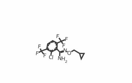 NC(=NOCC1CC1)c1c(C(F)(F)F)ccc(C(F)(F)F)c1Cl